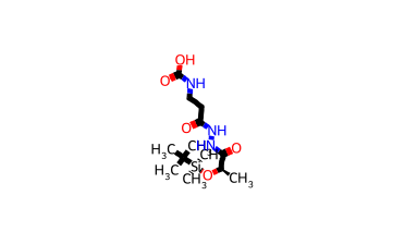 C[C@@H](O[Si](C)(C)C(C)(C)C)C(=O)NNC(=O)CCNC(=O)O